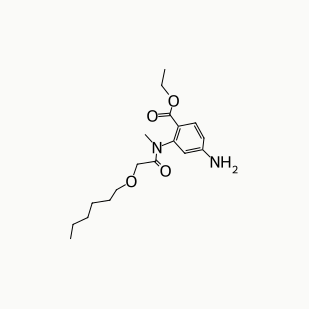 CCCCCCOCC(=O)N(C)c1cc(N)ccc1C(=O)OCC